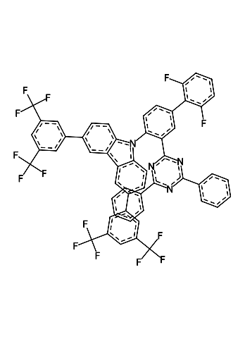 Fc1cccc(F)c1-c1ccc(-n2c3ccc(-c4cc(C(F)(F)F)cc(C(F)(F)F)c4)cc3c3cc(-c4cc(C(F)(F)F)cc(C(F)(F)F)c4)ccc32)c(-c2nc(-c3ccccc3)nc(-c3ccccc3)n2)c1